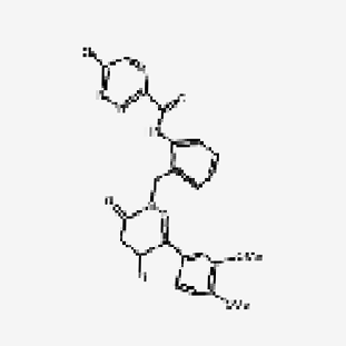 CCC1CC(=O)N(Cc2ccccc2NC(=O)c2ccc(Cl)nn2)N=C1c1ccc(OC)c(OC)c1